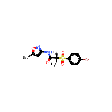 CC(C)(C)c1cc(NC(=O)C(C)(C)S(=O)(=O)c2ccc(Br)cc2)no1